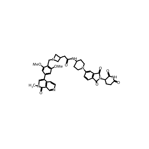 COc1cc(-c2cn(C)c(=O)c3cnccc23)cc(OC)c1CN1CC(CC(=O)NC2CCN(c3ccc4c(c3)C(=O)N(C3CCC(=O)NC3=O)C4=O)CC2)C1